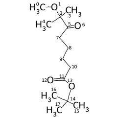 COC(C)(C)C(=O)CCCCC(=O)OC(C)(C)C